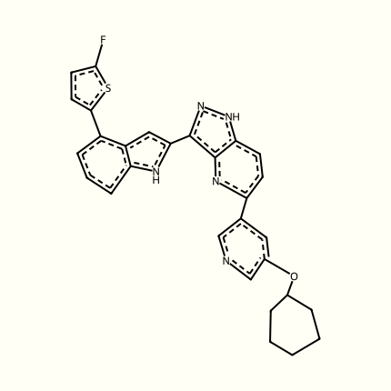 Fc1ccc(-c2cccc3[nH]c(-c4n[nH]c5ccc(-c6cncc(OC7CCCCC7)c6)nc45)cc23)s1